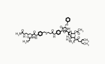 C=C[C@@H](CC)CC(=O)N(C)[C@H](C[C@@H](OC(C)=O)c1nc(C(=O)N[C@@H](CSc2ccccc2)C(=O)Nc2ccc(NC(=O)CCSCc3ccc(NC(=O)[C@H](CCCNC(N)=O)NC(=O)CN)cc3)cc2)cs1)C(C)C